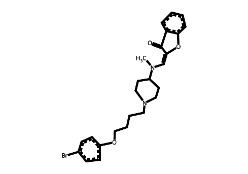 CN(C=C1Oc2ccccc2C1=O)C1CCN(CCCCOc2ccc(Br)cc2)CC1